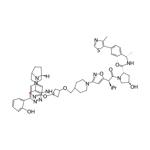 Cc1ncsc1-c1ccc([C@H](C)NC(=O)[C@@H]2C[C@@H](O)CN2C(=O)[C@H](c2cc(N3CCC(COC4CC(Oc5cc(N6C7CC[C@@H]6CN(c6cc(-c8ccccc8O)nnc6N)C7)ccn5)C4)CC3)no2)C(C)C)cc1